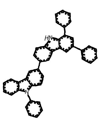 c1ccc(-c2cc(-c3ccccc3)c3[nH]c4ccc(-c5ccc6c(c5)c5ccccc5n6-c5ccccc5)cc4c3c2)cc1